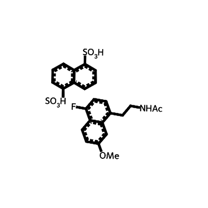 COc1ccc2c(F)ccc(CCNC(C)=O)c2c1.O=S(=O)(O)c1cccc2c(S(=O)(=O)O)cccc12